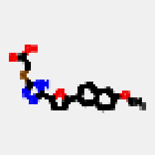 COc1ccc2cc(-c3ccc(-c4nnc(SCC(=O)O)[nH]4)o3)ccc2c1